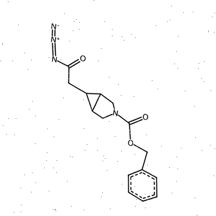 [N-]=[N+]=NC(=O)CC1C2CN(C(=O)OCc3ccccc3)CC12